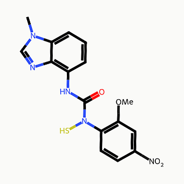 COc1cc([N+](=O)[O-])ccc1N(S)C(=O)Nc1cccc2c1ncn2C